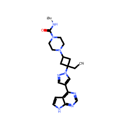 CC[C@@H](C)NC(=O)N1CCN(C2CC(CC#N)(n3cc(-c4ncnc5[nH]ccc45)cn3)C2)CC1